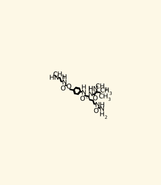 CNCCNC(=O)OCc1ccc(NC(=O)[C@H](CCCNC(N)=O)NC(=O)[C@@H](NC)C(C)C)cc1